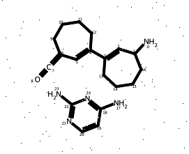 NC1C=C(C2=CC(=C=O)CCCC2)CCCC1.Nc1ccnc(N)n1